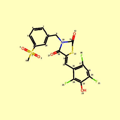 CS(=O)(=O)c1cccc(CN2C(=O)SC(=Cc3c(F)cc(F)c(O)c3F)C2=O)c1